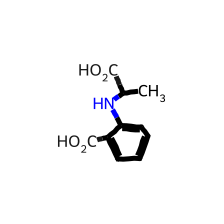 CC(Nc1ccccc1C(=O)O)C(=O)O